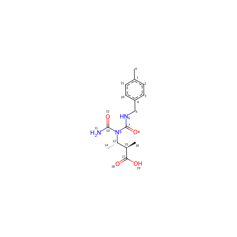 Cc1ccc(CNC(=O)N(C(N)=O)[C@@H](C)[C@@H](C)C(=O)O)cc1